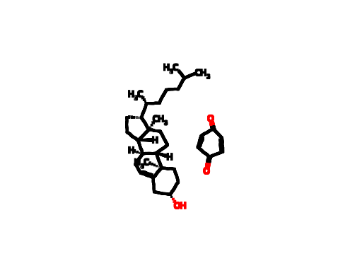 CC(C)CCC[C@@H](C)[C@H]1CC[C@H]2[C@@H]3CC=C4C[C@@H](O)CC[C@]4(C)[C@H]3CC[C@]12C.O=C1C=CC(=O)C=C1